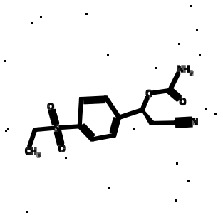 CCS(=O)(=O)c1ccc([C@H](CC#N)OC(N)=O)cc1